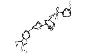 CN1Cc2cc(-c3ccc(-c4cncc(NS(=O)(=O)c5cccc(Cl)c5)c4)s3)ccc2C1=O